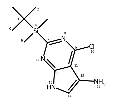 CC(C)(C)[Si](C)(C)c1nc(Cl)c2c(N)c[nH]c2n1